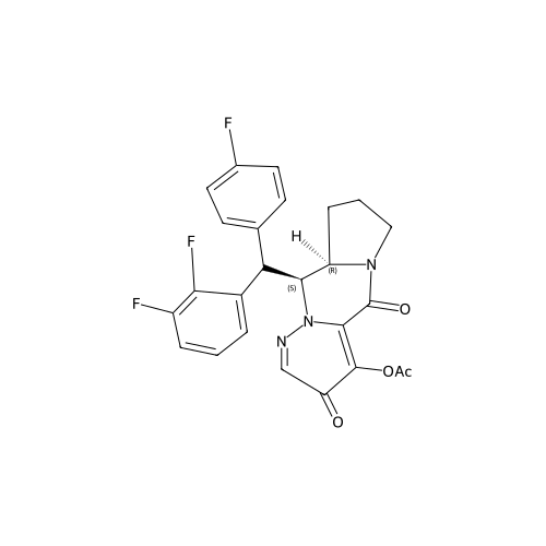 CC(=O)Oc1c2n(ncc1=O)[C@@H](C(c1ccc(F)cc1)c1cccc(F)c1F)[C@H]1CCCN1C2=O